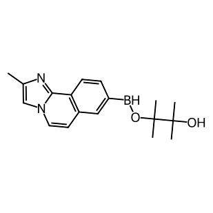 Cc1cn2ccc3cc(BOC(C)(C)C(C)(C)O)ccc3c2n1